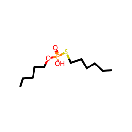 CCCCCCSP(=O)(O)OCCCCC